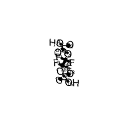 O=S(=O)(O)OC(F)(F)C(F)(F)OS(=O)(=O)O